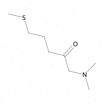 CSCCCC(=O)CN(C)C